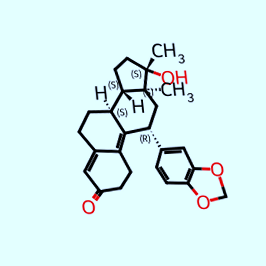 C[C@]1(O)CC[C@H]2[C@@H]3CCC4=CC(=O)CCC4=C3[C@@H](c3ccc4c(c3)OCO4)C[C@@]21C